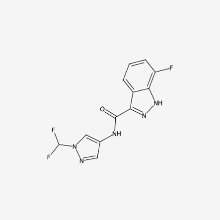 O=C(Nc1cnn(C(F)F)c1)c1n[nH]c2c(F)cccc12